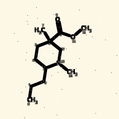 CCCC1CCC(C)(C(=O)OC)CN1C